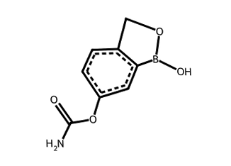 NC(=O)Oc1ccc2c(c1)B(O)OC2